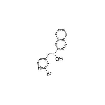 OC(Cc1ccnc(Br)c1)c1ccc2ccccc2c1